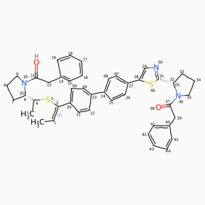 C/C=C(\SC(C)[C@@H]1CCCN1C(=O)Cc1ccccc1)c1ccc(-c2ccc(-c3cnc([C@@H]4CCCN4C(=O)Cc4ccccc4)s3)cc2)cc1